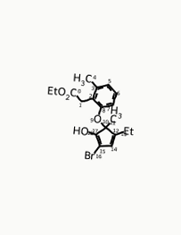 CCOC(=O)Cc1c(C)cccc1OC1(C)C(CC)=CC(Br)=C1O